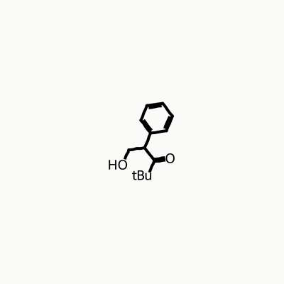 CC(C)(C)C(=O)C(CO)c1ccccc1